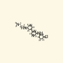 CN(C)CCCNc1cncc(-c2cncc(Nc3cccc(Cl)c3)n2)c1